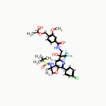 COc1cc(C(=O)NCC(O)(c2cc3c(c(-c4ccc(Cl)cc4)n2)OCC3(C)N[S+]([O-])C(C)(C)C)C(F)(F)F)ccc1CO[C@@H](C)O